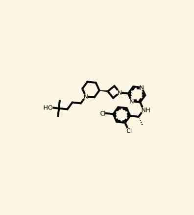 C[C@@H](Nc1cncc(N2CC([C@@H]3CCCN(CCCC(C)(C)O)C3)C2)n1)c1ccc(Cl)cc1Cl